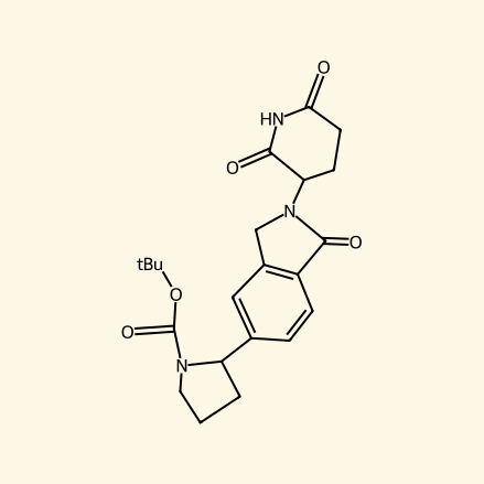 CC(C)(C)OC(=O)N1CCCC1c1ccc2c(c1)CN(C1CCC(=O)NC1=O)C2=O